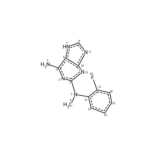 CN(c1nc(N)c2[nH]cnc2n1)c1ccccc1F